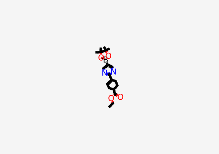 CCOC(=O)C1CC=C(c2ncc(B3OC(C)(C)C(C)(C)O3)cn2)CC1